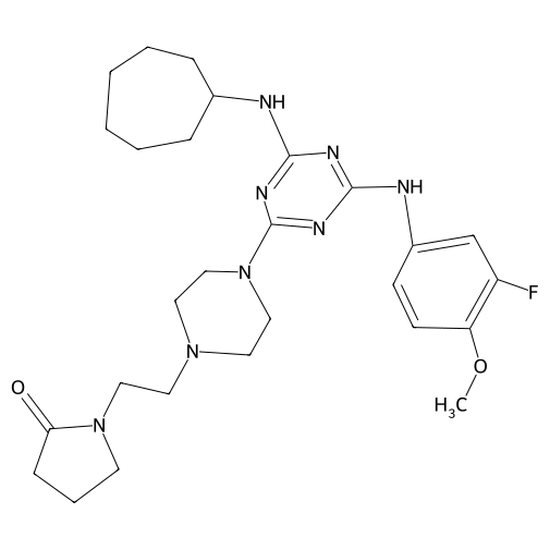 COc1ccc(Nc2nc(NC3CCCCCC3)nc(N3CCN(CCN4CCCC4=O)CC3)n2)cc1F